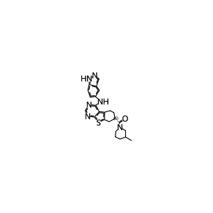 CC1CCCN(C(=O)[C@H]2CCc3c(sc4ncnc(Nc5ccc6[nH]ncc6c5)c34)C2)C1